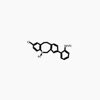 CC(=O)Nc1ccccc1-c1ccc2c(c1)CN(C(C)=O)c1ccc(Cl)cc1CC2